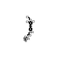 CC(C)(c1ccc(NCC(=O)COC(=O)NS(C)(=O)=O)cc1)c1cc(Cl)c(OCCCl)c(Cl)c1